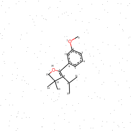 COc1cccc(C2=C(C(C)C)C(C)(C)CO2)c1